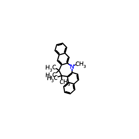 CN1c2cc3ccccc3cc2C(C)(C)C(C)(C)c2c1ccc1ccccc21